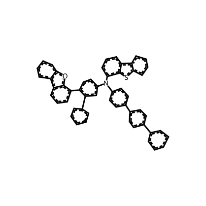 c1ccc(-c2ccc(-c3ccc(N(c4ccc(-c5cccc6c5oc5ccccc56)c(-c5ccccc5)c4)c4cccc5c4sc4ccccc45)cc3)cc2)cc1